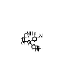 CN(C(=O)c1cc(-c2ccc(C#N)c(F)c2)c(-c2ccc3nn(C)cc3c2)n1C)C1CCNCC1